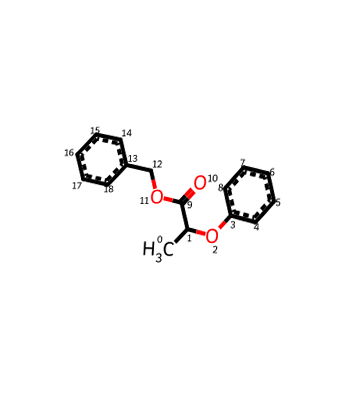 CC(Oc1ccccc1)C(=O)OCc1ccccc1